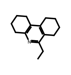 CCc1nc2c(c3c1CCCC3)CCCC2